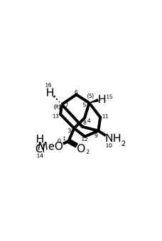 COC(=O)C12C[C@@H]3C[C@@H](CC(N)(C3)C1)C2.Cl